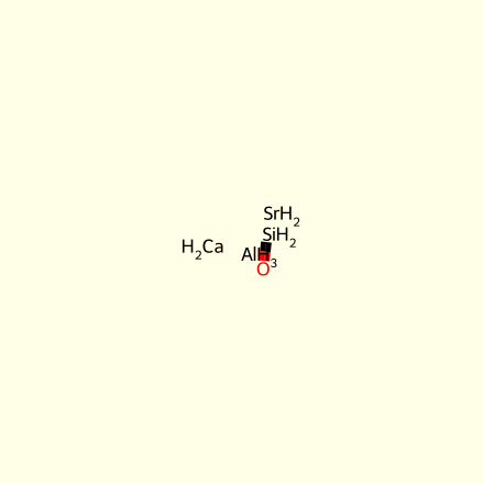 O=[SiH2].[AlH3].[CaH2].[SrH2]